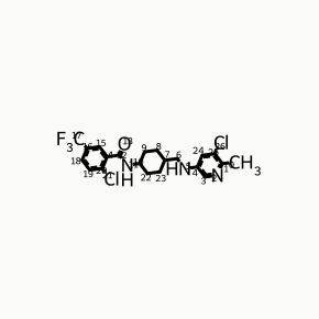 Cc1ncc(NCC2CCC(NC(=O)c3cc(C(F)(F)F)ccc3Cl)CC2)cc1Cl